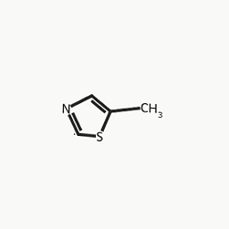 Cc1cn[c]s1